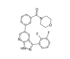 O=C(c1cccc(-c2cnc3[nH]nc(-c4cccc(F)c4F)c3c2)c1)N1CCOCC1